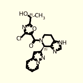 C[C@@H](O)c1nc(Cl)c(C(=O)N2CCc3[nH]cnc3[C@H]2c2cc3ccccn3n2)o1